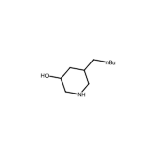 CCCCCC1CNCC(O)C1